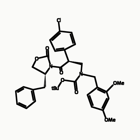 COc1ccc(CN(C[C@@H](C(=O)N2C(=O)OC[C@H]2Cc2ccccc2)c2ccc(Cl)cc2)C(=O)OC(C)(C)C)c(OC)c1